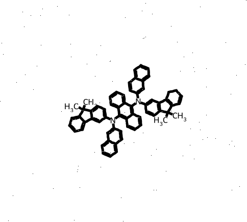 CC1(C)C2=C(CCC=C2)c2cc(N(c3ccc4ccccc4c3)c3c4ccccc4c(N(c4ccc5c(c4)-c4ccccc4C5(C)C)c4ccc5ccccc5c4)c4ccccc34)ccc21